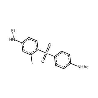 CCNc1ccc(S(=O)(=O)c2ccc(NC(C)=O)cc2)c(C)c1